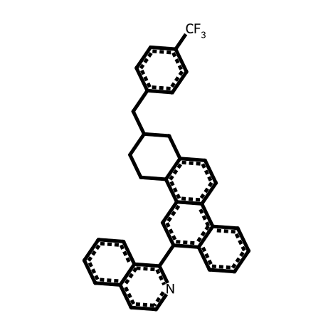 FC(F)(F)c1ccc(CC2CCc3c(ccc4c3cc(-c3nccc5ccccc35)c3ccccc34)C2)cc1